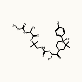 CC(C)C(NC(=O)OC(C)(C)C)C(=O)OC(C)(C)CNC(=O)N[C@@H](C(=O)N1CC[C@](O)(c2ccc(Cl)cc2)C(C)(C)C1)C(C)C